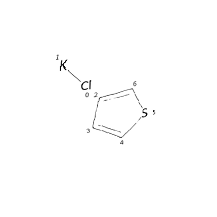 [Cl][K].c1ccsc1